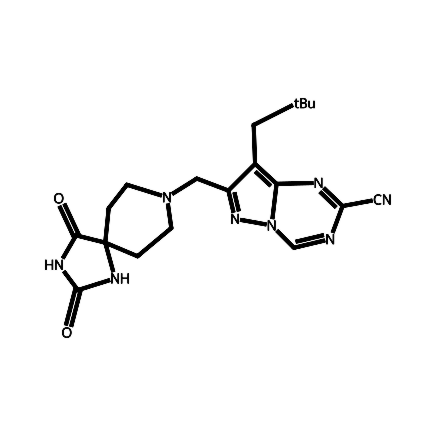 CC(C)(C)Cc1c(CN2CCC3(CC2)NC(=O)NC3=O)nn2cnc(C#N)nc12